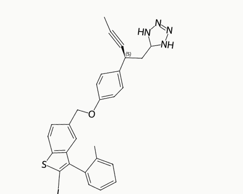 CC#C[C@@H](CC1NN=NN1)c1ccc(OCc2ccc3sc(I)c(-c4ccccc4C)c3c2)cc1